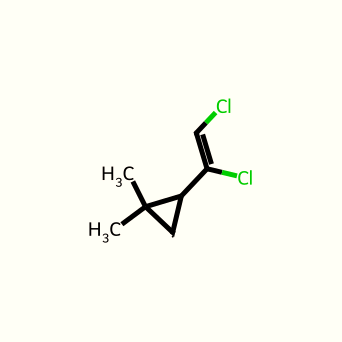 CC1(C)[CH]C1/C(Cl)=C/Cl